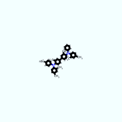 CCCCc1ccc(N(c2ccc(C)cc2C)c2ccc(-c3ccc(N(c4ccccc4)c4ccc(C)cc4C)c(C)c3)cc2C)cc1